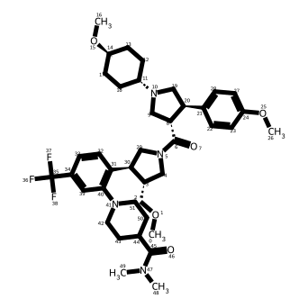 COC[C@H]1CN(C(=O)[C@@H]2CN([C@H]3CC[C@H](OC)CC3)C[C@H]2c2ccc(OC)cc2)C[C@@H]1c1ccc(C(F)(F)F)cc1N1CCC(C(=O)N(C)C)CC1